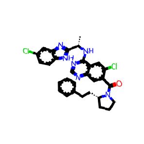 C[C@H](Nc1ncnc2cc(C(=O)N3CCC[C@@H]3CCc3ccccc3)c(Cl)cc12)c1nc2cc(Cl)ccc2[nH]1